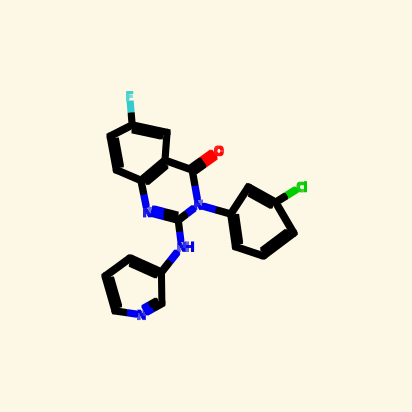 O=c1c2cc(F)ccc2nc(Nc2cccnc2)n1-c1cccc(Cl)c1